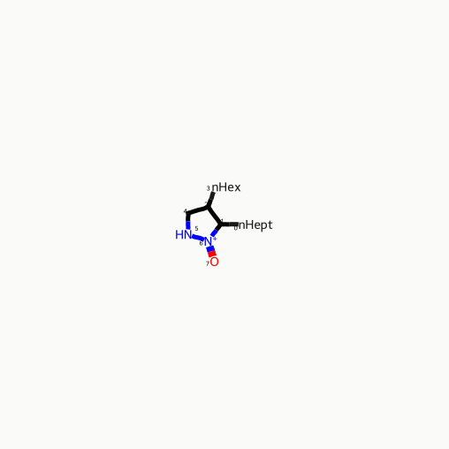 CCCCCCCC1C(CCCCCC)CN[N+]1=O